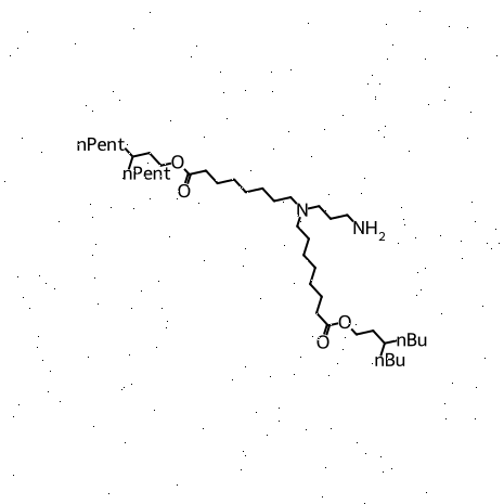 CCCCCC(CCCCC)CCOC(=O)CCCCCCCN(CCCN)CCCCCCCC(=O)OCCC(CCCC)CCCC